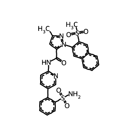 Cc1cc(C(=O)Nc2ccc(-c3ccccc3S(N)(=O)=O)cn2)n(-c2cc3ccccc3cc2S(C)(=O)=O)n1